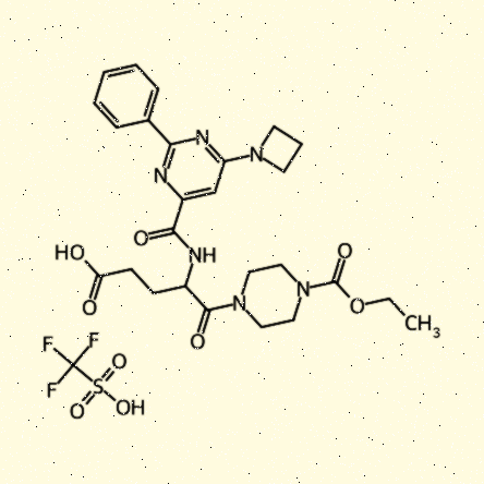 CCOC(=O)N1CCN(C(=O)C(CCC(=O)O)NC(=O)c2cc(N3CCC3)nc(-c3ccccc3)n2)CC1.O=S(=O)(O)C(F)(F)F